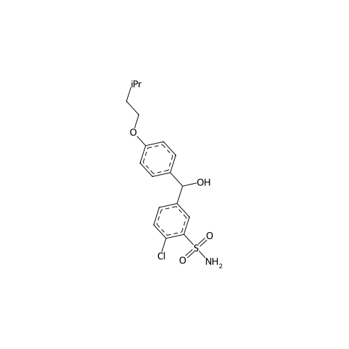 CC(C)CCOc1ccc(C(O)c2ccc(Cl)c(S(N)(=O)=O)c2)cc1